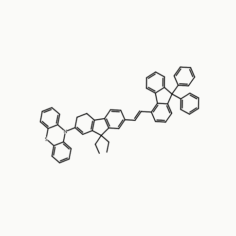 CCC1(CC)C2=C(CCC(N3c4ccccc4Sc4ccccc43)=C2)c2ccc(/C=C/c3cccc4c3-c3ccccc3C4(c3ccccc3)c3ccccc3)cc21